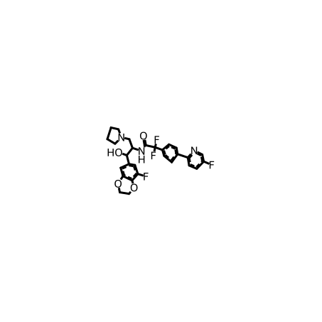 O=C(NC(CN1CCCC1)C(O)c1cc(F)c2c(c1)OCCO2)C(F)(F)c1ccc(-c2ccc(F)cn2)cc1